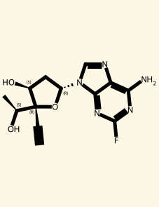 C#C[C@]1([C@H](C)O)O[C@@H](n2cnc3c(N)nc(F)nc32)C[C@@H]1O